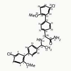 COc1ccc(Cl)cc1-c1ccc(C(C)N[C@@H](C(N)=O)c2ccc(-c3cc(Cl)ccc3OC)cc2)cc1